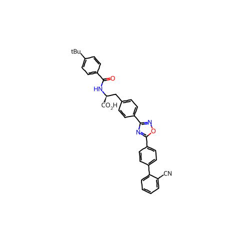 CC(C)(C)c1ccc(C(=O)N[C@@H](Cc2ccc(-c3noc(-c4ccc(-c5ccccc5C#N)cc4)n3)cc2)C(=O)O)cc1